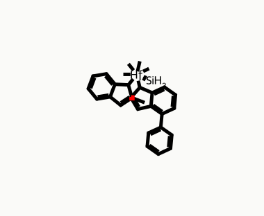 CC1=Cc2ccccc2[CH]1[Hf]([CH3])([CH3])([CH3])([CH3])(=[SiH2])[CH]1C=Cc2c(-c3ccccc3)cccc21